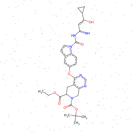 CCOC(=O)C1Cc2c(ncnc2Oc2ccc3c(ccn3C(=O)NC(=N)/C=C(\O)C3CC3)c2)CN1C(=O)OC(C)(C)C